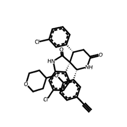 C#Cc1ccc(OC2CCOCC2)c([C@H]2NC(=O)C[C@@H](c3cccc(Cl)c3)[C@]23C(=O)Nc2cc(Cl)ccc23)c1